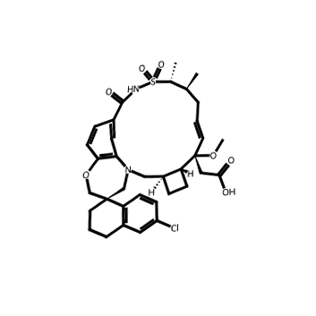 CO[C@@]1(CC(=O)O)/C=C/C[C@H](C)[C@@H](C)S(=O)(=O)NC(=O)c2ccc3c(c2)N(C[C@@H]2CC[C@H]21)C[C@@]1(CCCc2cc(Cl)ccc21)CO3